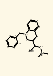 C[SiH](C)OC(C1Cc2ccccc2N(Cc2ccccc2)C1)C(C)(C)C